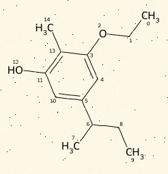 CCOc1cc(C(C)CC)cc(O)c1C